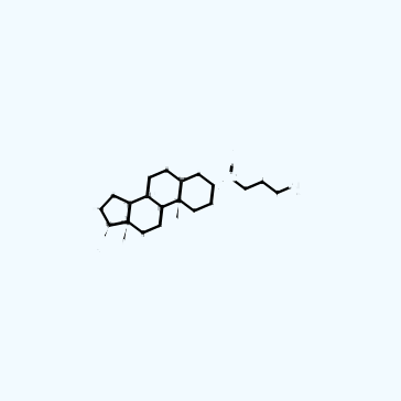 C[C@]12CC[C@@H]([S+]([O-])CCCN)CC1CCC1C2CC[C@@]2(C)C1CC[C@@H]2O